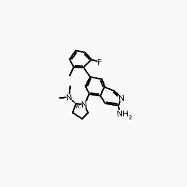 Cc1cccc(F)c1-c1cc(N2CCC[C@H]2N(C)C)c2cc(N)ncc2c1